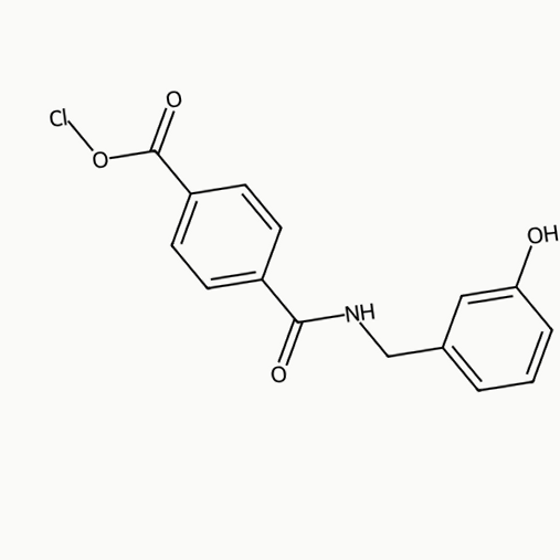 O=C(NCc1cccc(O)c1)c1ccc(C(=O)OCl)cc1